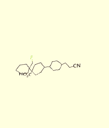 N#CCCC1CCC(C2CCC(C(=O)O)(C3(CF)CCCCC3)CC2)CC1